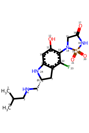 CC(C)CNC[C@H]1Cc2c(cc(O)c(N3CC(=O)NS3(=O)=O)c2F)N1